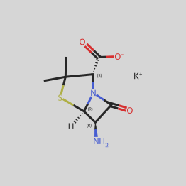 CC1(C)S[C@@H]2[C@H](N)C(=O)N2[C@H]1C(=O)[O-].[K+]